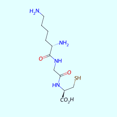 NCCCC[C@H](N)C(=O)NCC(=O)N[C@@H](CS)C(=O)O